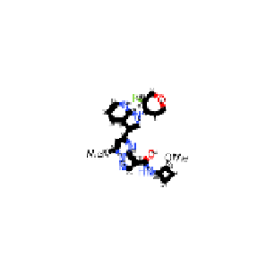 CNc1cc(-c2cn([C@H]3CCOC[C@@H]3F)c3ncccc23)nc2c(C(=O)NC3CC[C@H]3OC)cnn12